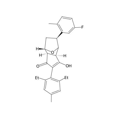 CCc1cc(C)cc(CC)c1C1=C(O)[C@@H]2C3O[C@@H](C[C@H]3c3cc(F)ccc3C)[C@@H]2C1=O